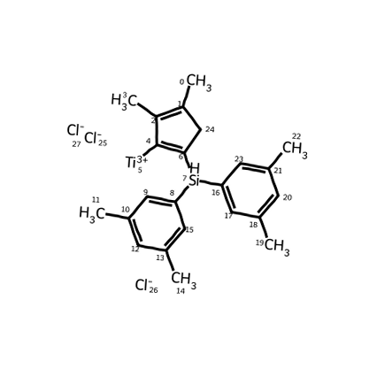 CC1=C(C)[C]([Ti+3])=C([SiH](c2cc(C)cc(C)c2)c2cc(C)cc(C)c2)C1.[Cl-].[Cl-].[Cl-]